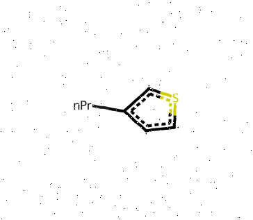 CCCc1[c][c]s[c]1